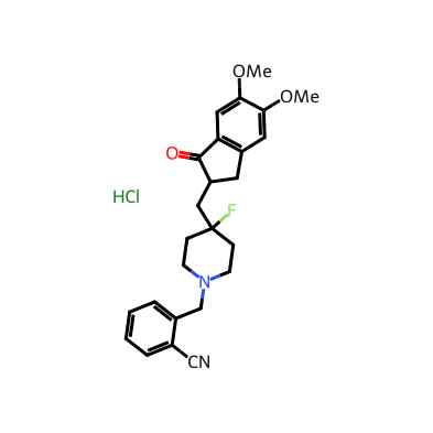 COc1cc2c(cc1OC)C(=O)C(CC1(F)CCN(Cc3ccccc3C#N)CC1)C2.Cl